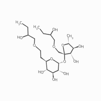 CCC(O)COCC[C@H]1O[C@H](O[C@]2(COCC(O)CC)O[C@H](C)[C@@H](O)[C@@H]2O)[C@H](O)[C@@H](O)[C@@H]1O